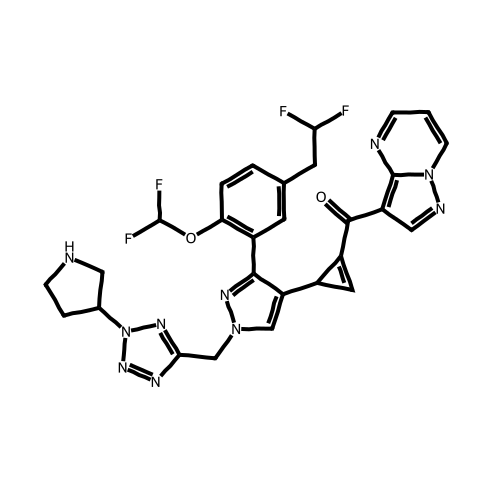 O=C(C1=CC1c1cn(Cc2nnn(C3CCNC3)n2)nc1-c1cc(CC(F)F)ccc1OC(F)F)c1cnn2cccnc12